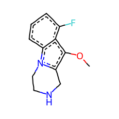 COc1c2n(c3cccc(F)c13)CCNC2